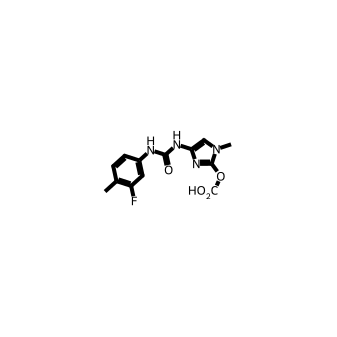 Cc1ccc(NC(=O)Nc2cn(C)c(OC(=O)O)n2)cc1F